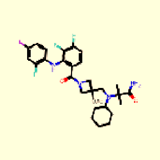 CC(=O)OC1(CN(C2CCCCC2)C(C)(C)C(N)=O)CN(C(=O)c2ccc(F)c(F)c2Nc2ccc(I)cc2F)C1